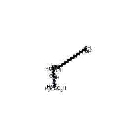 C=C(O)CCCCCCCCCCCCCCCCCCC(=O)N[C@@H](CCC(=O)NC/C=C/C[C@H](NP)C(=O)O)C(=C)O